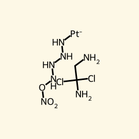 NCC(N)(Cl)Cl.O=[N+]([O-])ONNN[NH][Pt-]